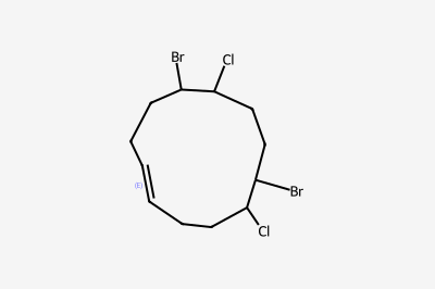 ClC1CCC(Br)C(Cl)CC/C=C/CCC1Br